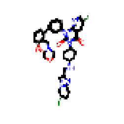 O=c1c2cc(F)cnc2n(-c2cccc(-c3cccc(O)c3CN3CCOCC3)c2)c(=O)n1C1CCC(NCc2cn3cc(F)ccc3n2)CC1